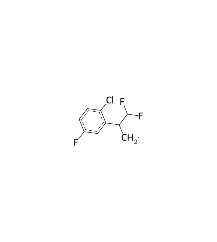 [CH2]C(c1cc(F)ccc1Cl)C(F)F